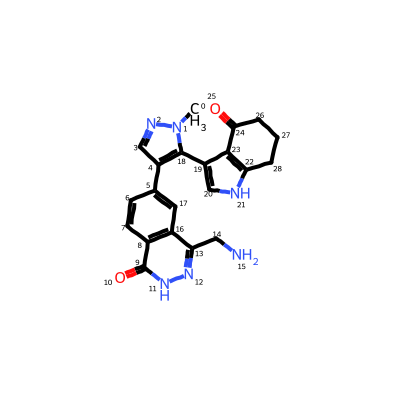 Cn1ncc(-c2ccc3c(=O)[nH]nc(CN)c3c2)c1-c1c[nH]c2c1C(=O)CCC2